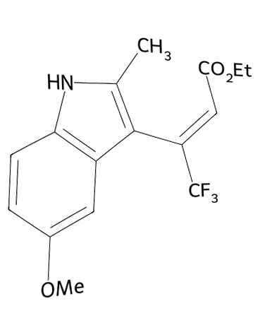 CCOC(=O)/C=C(\c1c(C)[nH]c2ccc(OC)cc12)C(F)(F)F